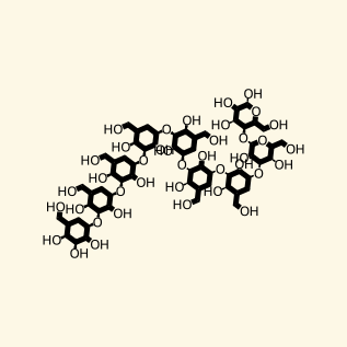 OCC1O[C@@H](O)C(O)[C@@H](O)[C@@H]1O[C@@H]1OC(CO)[C@H](O)[C@H](O[C@@H]2CC(CO)[C@H](O)[C@H](O[C@@H]3CC(CO)[C@H](O)[C@H](O[C@@H]4CC(CO)[C@H](O)[C@H](O[C@@H]5CC(CO)[C@H](O)[C@H](O[C@@H]6CC(CO)[C@H](O)[C@H](O[C@@H]7CC(CO)[C@H](O)[C@H](O[C@@H]8CC(CO)[C@H](O)[C@H](O)C8O)C7O)C6O)C5O)C4O)C3O)C2O)C1O